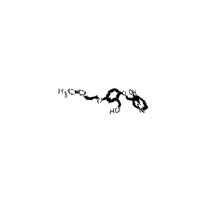 COCCOc1ccc(OCC2(O)CN3CCC2CC3)c(CO)c1